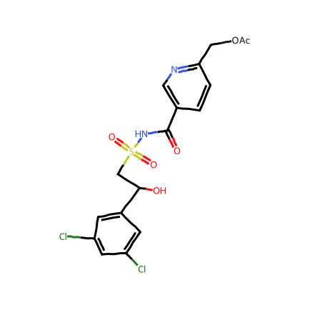 CC(=O)OCc1ccc(C(=O)NS(=O)(=O)CC(O)c2cc(Cl)cc(Cl)c2)cn1